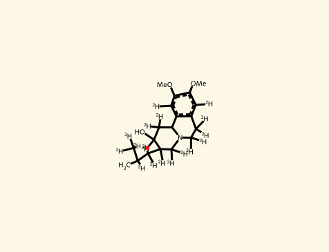 [2H]c1c(OC)c(OC)c([2H])c2c1C1N(C([2H])([2H])C2([2H])[2H])C([2H])([2H])C([2H])(C([2H])([2H])C([2H])(C)C([2H])([2H])[2H])C([2H])(O)C1([2H])[2H]